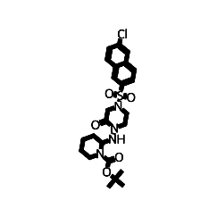 CC(C)(C)OC(=O)N1CCCCC1NN1CCN(S(=O)(=O)c2ccc3cc(Cl)ccc3c2)CC1=O